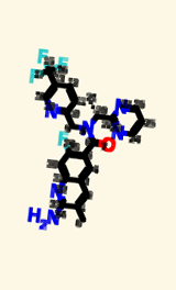 Cc1cc2cc(C(=O)N(Cc3ccc(C(F)(F)F)cn3)[C@H](C)c3ncccn3)c(F)cc2nc1N